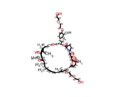 CO[C@@H]1C[C@H](C[C@@H](C)[C@@H]2CCOC[C@H](C)/C=C(\C)[C@@H](O)[C@@H](OC)C(=O)[C@H](C)C[C@H](C)/C=C/C=C/C=C(\C)[C@@H](OCCOCCO)C[C@@H]3CC[C@@H](C)[C@@](O)(O3)C(=O)C(=O)N3CCCC[C@H]3C(=O)O2)CC[C@H]1OCCOCCO